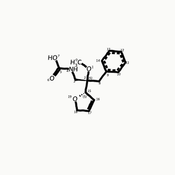 CO[C@](CNC(=O)O)(Cc1ccccc1)[C@@H]1C=CCO1